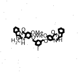 C=C1Nc2cc(OCc3cc(I)cc(COc4cc5c(cc4OC)C(=O)N4c6ccccc6C[C@H]4C=N5)c3)c(OC)cc2C(=O)N2c3ccccc3C[C@@H]12